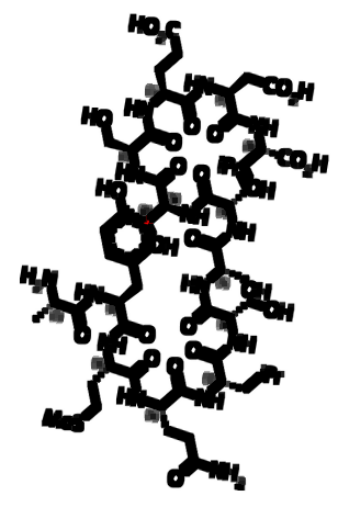 CSCC[C@H](NC(=O)[C@H](Cc1ccc(O)cc1)NC(=O)[C@H](C)N)C(=O)N[C@@H](CCC(N)=O)C(=O)N[C@@H](CC(C)C)C(=O)N[C@@H](CO)C(=O)N[C@@H](CO)C(=O)N[C@@H](CC(C)C)C(=O)N[C@H](C(=O)N[C@@H](CO)C(=O)N[C@@H](CCC(=O)O)C(=O)N[C@@H](CC(=O)O)C(=O)N[C@@H](CO)C(=O)O)[C@@H](C)O